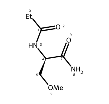 CCC(=O)N[C@H](COC)C(N)=O